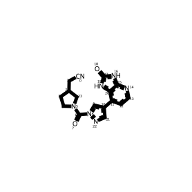 N#CCC1CCN(C(=O)n2cc(-c3ccnc4[nH]c(=O)[nH]c34)cn2)C1